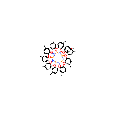 Cc1ccc(ON2P(Oc3ccc(C)cc3)N=P(Oc3ccc(C)cc3)(Oc3ccc(C)cc3)N(Oc3ccc(C)cc3)P(Oc3ccc(C)cc3)N(Oc3ccc(C)cc3)P(Oc3ccc(C)cc3)N(Oc3ccc(C)cc3)P2Oc2ccc(C)cc2)cc1